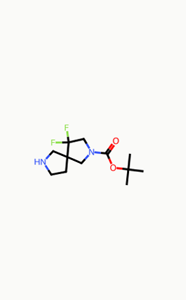 CC(C)(C)OC(=O)N1CC(F)(F)C2(CCNC2)C1